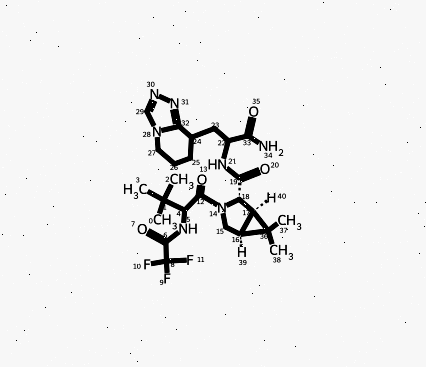 CC(C)(C)C(NC(=O)C(F)(F)F)C(=O)N1C[C@H]2[C@@H]([C@H]1C(=O)NC(CC1CCCn3cnnc31)C(N)=O)C2(C)C